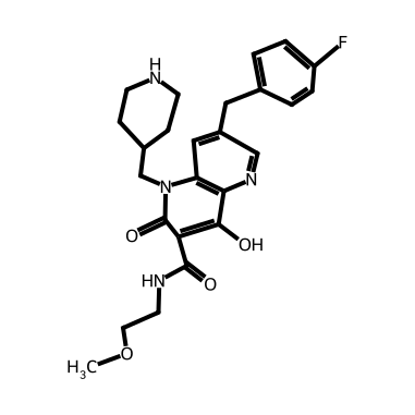 COCCNC(=O)c1c(O)c2ncc(Cc3ccc(F)cc3)cc2n(CC2CCNCC2)c1=O